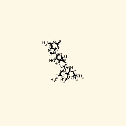 COC(=O)COP(=O)(N[C@@H](CC(C)C)C(=O)OC)OC1[C@H]2O[C@@H](n3cnc4c(N)nc(F)nc43)[C@@H](O)[C@@]12O